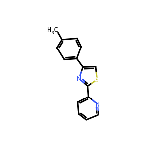 Cc1ccc(-c2csc(-c3ccccn3)n2)cc1